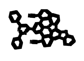 N#Cc1ccccc1-c1cc(-c2cc(-c3ccccc3)nc(-c3ccccc3)n2)cc(-c2ccccc2C#N)c1-n1c2ccccc2c2c3oc4ccccc4c3ccc21